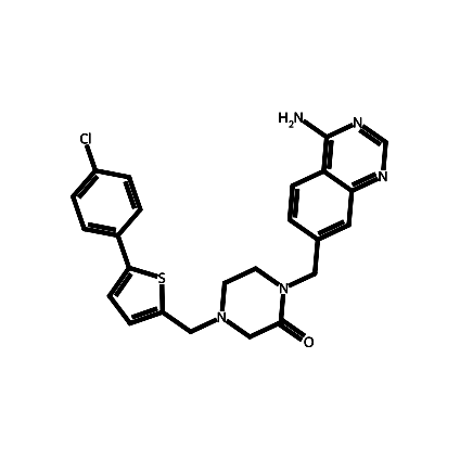 Nc1ncnc2cc(CN3CCN(Cc4ccc(-c5ccc(Cl)cc5)s4)CC3=O)ccc12